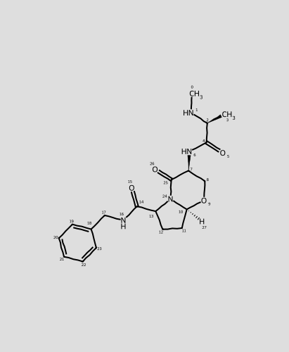 CN[C@@H](C)C(=O)N[C@H]1CO[C@H]2CCC(C(=O)NCc3ccccc3)N2C1=O